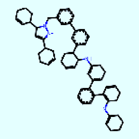 C1=CC(C2C=C(C3CC=CCC3)NN2Cc2cccc(-c3cccc(C4CCC=CC4NC4=CC(c5ccccc5C5=C(NC6=CCCCC6)CCC=C5)=CCC4)c3)c2)CCC1